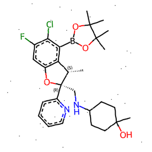 C[C@H]1c2c(cc(F)c(Cl)c2B2OC(C)(C)C(C)(C)O2)O[C@]1(CNC1CCC(C)(O)CC1)c1ccccn1